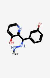 CC(C)(C)NNC(c1cccc(Br)c1)c1ncccc1O